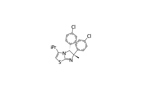 CC(C)C1=CSC2=N[C@@](C)(c3ccc(Cl)cc3)[C@@H](c3ccc(Cl)cc3)N12